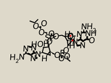 CCOP1(=O)OC[C@@]23C[C@@H]2[C@@H](n2cnc4c(N)ncnc42)[C@H](O)[C@@H]3OP(=O)(SCOC(=O)OC(C)C)OC[C@H]2O[C@@H](n3cnc4c(=O)[nH]c(N)nc43)[C@H](O1)[C@@H]2OC